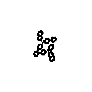 c1ccc(-c2ccc(N(c3ccc(-c4ccccc4-c4ccc(-n5c6ccccc6c6cc7ccccc7cc65)cc4)cc3)c3ccc4ccccc4c3)cc2)cc1